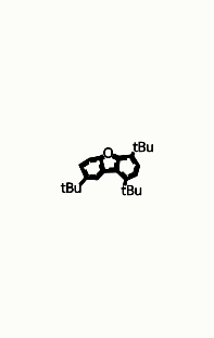 CC(C)(C)c1ccc2oc3c(C(C)(C)C)ccc(C(C)(C)C)c3c2c1